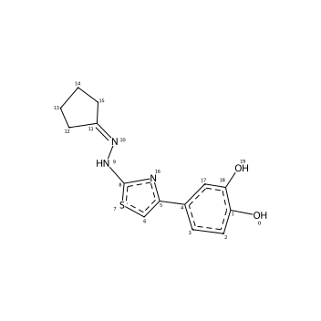 Oc1ccc(-c2csc(NN=C3CCCC3)n2)cc1O